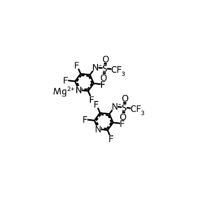 O=S(=O)([N-]c1c(F)c(F)nc(F)c1F)C(F)(F)F.O=S(=O)([N-]c1c(F)c(F)nc(F)c1F)C(F)(F)F.[Mg+2]